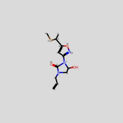 C=CCN1CC(O)N(c2cc(C(C)SC)on2)C1=O